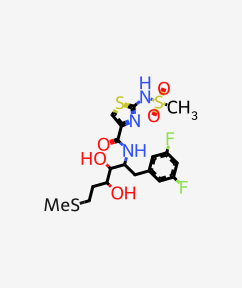 CSCCC(O)C(O)C(Cc1cc(F)cc(F)c1)NC(=O)c1csc(NS(C)(=O)=O)n1